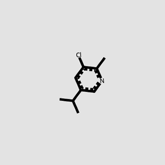 Cc1ncc(C(C)C)cc1Cl